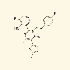 C=C1C(c2ccc(C)s2)=C(C)N=C(c2cccc(F)c2O)N1CCc1ccc(F)cc1